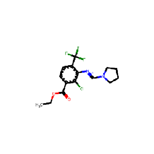 CCOC(=O)c1ccc(C(F)(F)F)c(/N=C/N2CCCC2)c1Cl